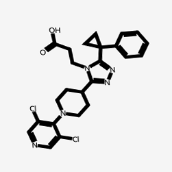 O=C(O)CCn1c(C2CCN(c3c(Cl)cncc3Cl)CC2)nnc1C1(c2ccccc2)CC1